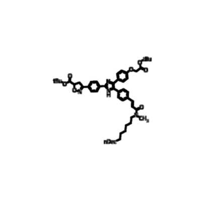 CCCCCCCCCCCCCCCCN(C)C(=O)C=Cc1ccc(-c2[nH]c(-c3ccc(C4=NOC(C(=O)OC(C)(C)C)C4)cc3)nc2-c2ccc(OCC(=O)OC(C)(C)C)cc2)cc1